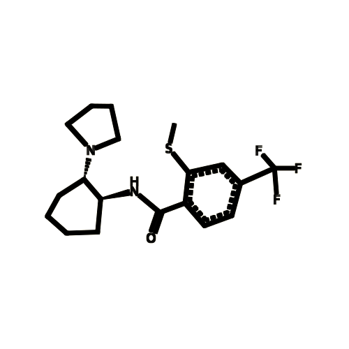 CSc1cc(C(F)(F)F)ccc1C(=O)N[C@H]1CCCC[C@@H]1N1CCCC1